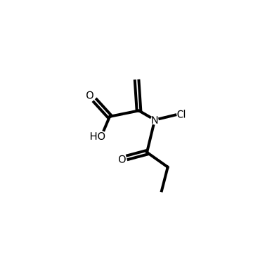 C=C(C(=O)O)N(Cl)C(=O)CC